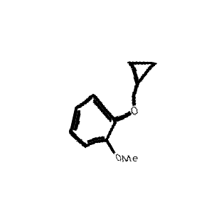 COc1ccccc1OC1CC1